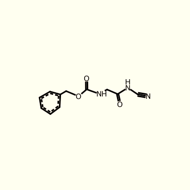 N#CNC(=O)CNC(=O)OCc1ccccc1